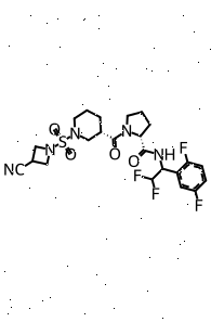 N#CC1CN(S(=O)(=O)N2CCC[C@H](C(=O)N3CCC[C@@H]3C(=O)NC(c3cc(F)ccc3F)C(F)F)C2)C1